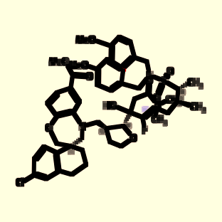 COC(=O)c1ccc2c(c1)N(C[C@@H]1CCO[C@H]1C(O)(CC(=O)N(C)C)/C(F)=C/C[C@H](C)[C@@H](C)S(=O)(=O)N(Cc1ccc(OC)cc1)Cc1ccc(OC)cc1)C[C@@]1(CCCc3cc(Cl)ccc31)CO2